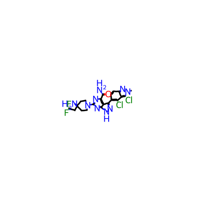 Cn1nc2ccc(-c3n[nH]c4nc(N5CCC(N)(CC(F)F)CC5)nc(C(N)=O)c34)c(Cl)c2c1Cl